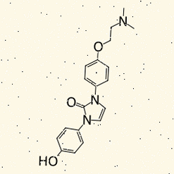 CN(C)CCOc1ccc(-n2ccn(-c3ccc(O)cc3)c2=O)cc1